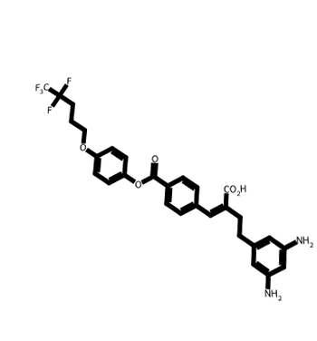 Nc1cc(N)cc(CCC(=Cc2ccc(C(=O)Oc3ccc(OCCCC(F)(F)C(F)(F)F)cc3)cc2)C(=O)O)c1